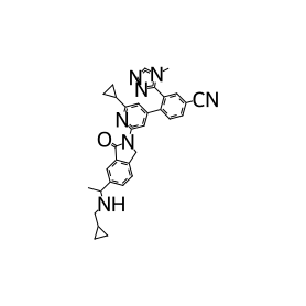 CC(NCC1CC1)c1ccc2c(c1)C(=O)N(c1cc(-c3ccc(C#N)cc3-c3nncn3C)cc(C3CC3)n1)C2